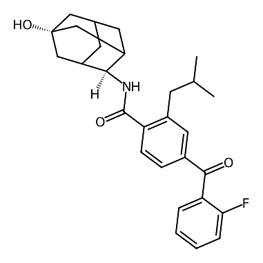 CC(C)Cc1cc(C(=O)c2ccccc2F)ccc1C(=O)N[C@H]1C2CC3CC1C[C@](O)(C3)C2